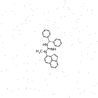 CN(C(=N)NC(c1ccccc1)c1ccccc1)c1ccc2cccc3c2c1C=C3